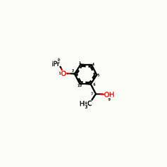 CC(C)Oc1cccc(C(C)O)c1